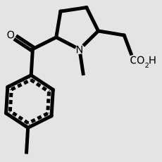 Cc1ccc(C(=O)C2CCC(CC(=O)O)N2C)cc1